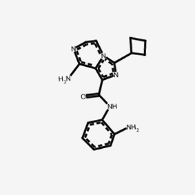 Nc1ccccc1NC(=O)c1nc(C2CCC2)n2ccnc(N)c12